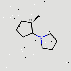 C[C@@H]1CCCC1N1CCCC1